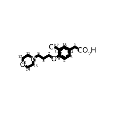 O=C(O)Cc1ccc(OCCCN2CCOCC2)c(Cl)c1